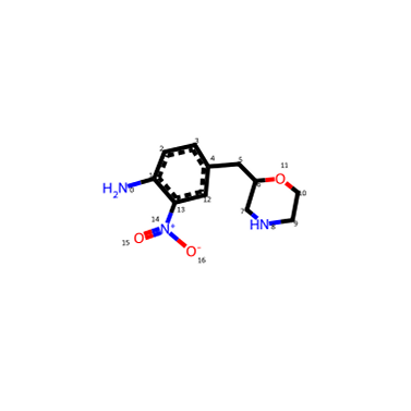 Nc1ccc(CC2CNCCO2)cc1[N+](=O)[O-]